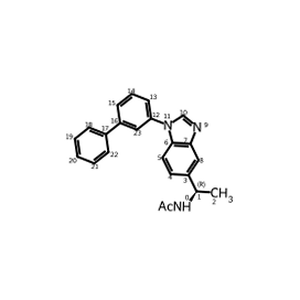 CC(=O)N[C@H](C)c1ccc2c(c1)ncn2-c1cccc(-c2ccccc2)c1